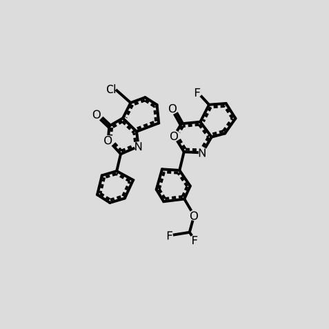 O=c1oc(-c2cccc(OC(F)F)c2)nc2cccc(F)c12.O=c1oc(-c2ccccc2)nc2cccc(Cl)c12